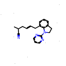 CC(C#N)CC=CCc1cccc2c1N(c1ncccn1)CC2